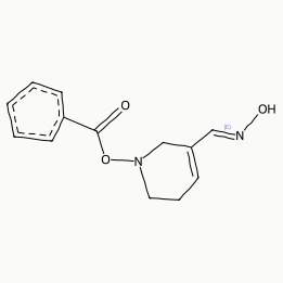 O=C(ON1CCC=C(/C=N/O)C1)c1ccccc1